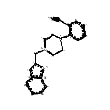 N#Cc1ccccc1N1CCN(Cc2cc3ccccc3s2)CC1